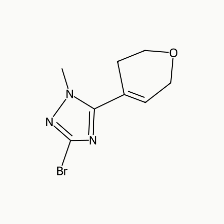 Cn1nc(Br)nc1C1=CCOCC1